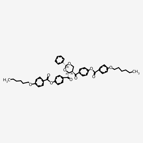 CCCCCCOc1ccc(C(=O)Oc2ccc(C(=O)[C@@H]3CO[C@@H](c4ccccc4)O[C@H]3C(=O)c3ccc(OC(=O)c4ccc(OCCCCCC)cc4)cc3)cc2)cc1